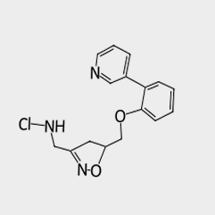 ClNCC1=NOC(COc2ccccc2-c2cccnc2)C1